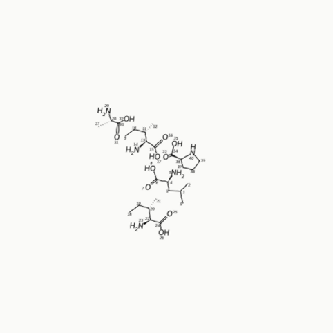 CC(C)C[C@H](N)C(=O)O.CC[C@H](C)[C@H](N)C(=O)O.CC[C@H](C)[C@H](N)C(=O)O.C[C@H](N)C(=O)O.O=C(O)[C@@H]1CCCN1